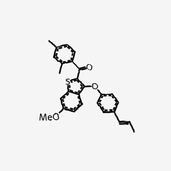 C/C=C/c1ccc(Oc2c(C(=O)c3ccc(C)cc3C)sc3cc(OC)ccc23)cc1